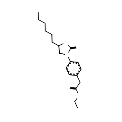 CCCCCCC1CN(c2ccc(CC(=O)OCC)cc2)C(=O)O1